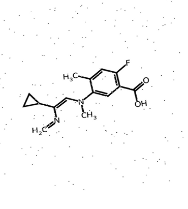 C=N/C(=C\N(C)c1cc(C(=O)O)c(F)cc1C)C1CC1